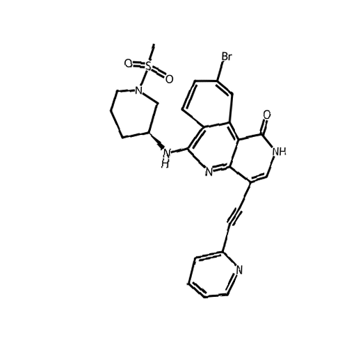 CS(=O)(=O)N1CCC[C@H](Nc2nc3c(C#Cc4ccccn4)c[nH]c(=O)c3c3cc(Br)ccc23)C1